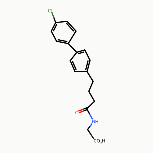 O=C(O)CNC(=O)CCCc1ccc(-c2ccc(Cl)cc2)cc1